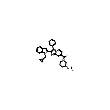 N[C@@H]1CCCN(C(=O)c2ccn3c(-c4ccccc4)c(-c4cc5ccccc5n4CC4CC4)nc3c2)C1